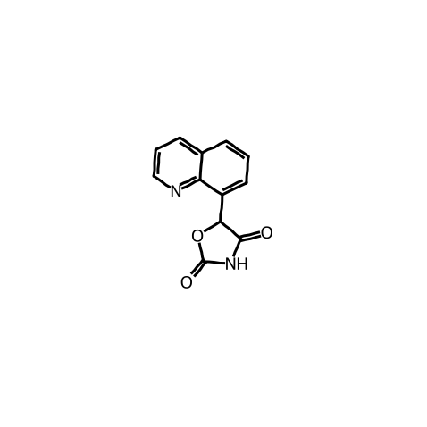 O=C1NC(=O)C(c2cccc3cccnc23)O1